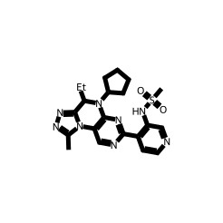 CCC1c2nnc(C)n2-c2cnc(-c3ccncc3NS(C)(=O)=O)nc2N1C1CCCC1